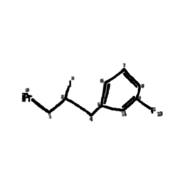 CC(C)CC(I)Cc1cccc(F)c1